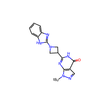 CC(C)(C)n1ncc2c(=O)[nH]c(C3CN(c4nc5ccccc5[nH]4)C3)nc21